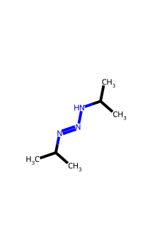 CC(C)N=NNC(C)C